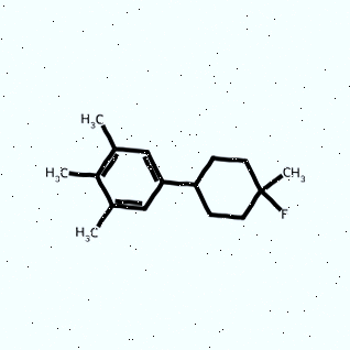 Cc1cc(C2CCC(C)(F)CC2)cc(C)c1C